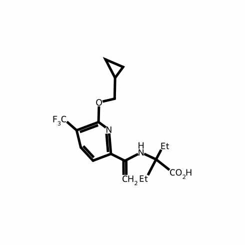 C=C(NC(CC)(CC)C(=O)O)c1ccc(C(F)(F)F)c(OCC2CC2)n1